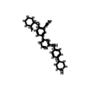 N#Cc1cc(-c2ncnc(Nc3ccc(C4CCNCC4)cc3)n2)ccc1OC1CCCCC1F